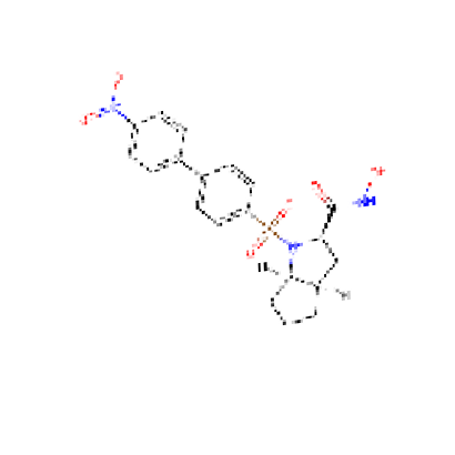 O=C(NO)[C@H]1C[C@H]2CCC[C@H]2N1S(=O)(=O)c1ccc(-c2ccc([N+](=O)[O-])cc2)cc1